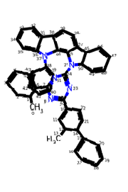 CC1CC=CC=C1c1nc(C2=CC(C)C(c3ccccc3)C=C2)nc(N2c3c(ccc4c5ccccc5n(-c5ccccc5)c34)C3C=CC=CC32)n1